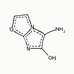 Nc1c(O)nc2occn12